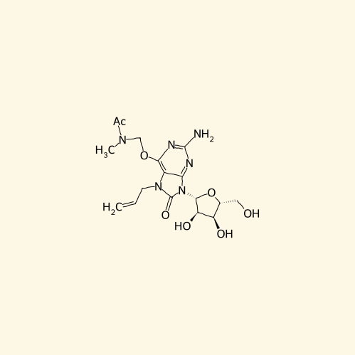 C=CCn1c(=O)n([C@@H]2O[C@H](CO)[C@@H](O)[C@H]2O)c2nc(N)nc(OCN(C)C(C)=O)c21